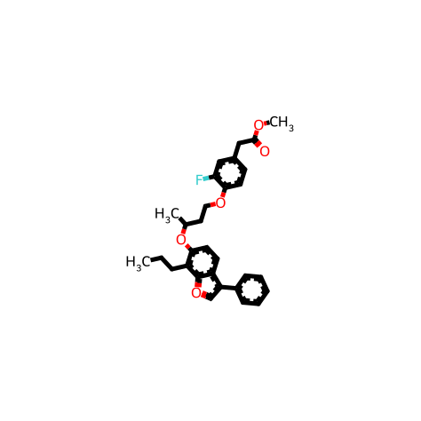 CCCc1c(OC(C)CCOc2ccc(CC(=O)OC)cc2F)ccc2c(-c3ccccc3)coc12